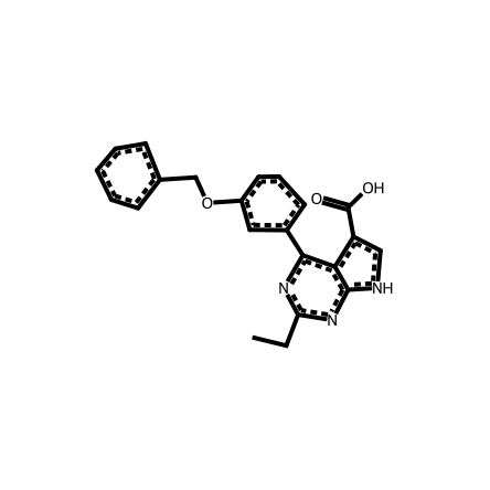 CCc1nc(-c2cccc(OCc3ccccc3)c2)c2c(C(=O)O)c[nH]c2n1